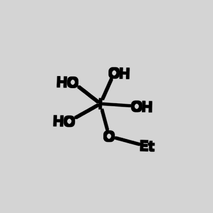 CCOI(O)(O)(O)O